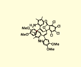 COc1ccc(C(=CC2(C=C(c3ccc(OC)c(OC)c3)c3ccc(C)c(C)c3N)OC(=O)c3c(Cl)c(Cl)c(Cl)c(Cl)c32)c2ccc(C)c(C)c2N)cc1OC